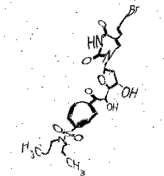 CCCN(CCC)S(=O)(=O)c1ccc(C(=O)C(O)[C@H]2O[C@@H](n3cc(/C=C/Br)c(=O)[nH]c3=O)C[C@@H]2O)cc1